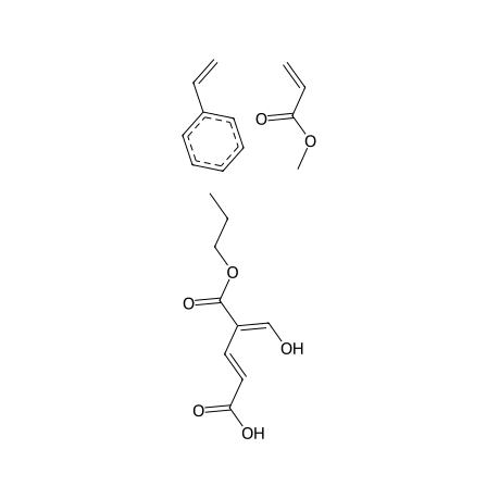 C=CC(=O)OC.C=Cc1ccccc1.CCCOC(=O)C(C=CC(=O)O)=CO